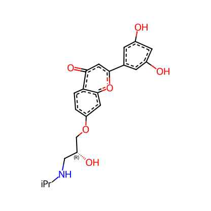 CC(C)NC[C@@H](O)COc1ccc2c(=O)cc(-c3cc(O)cc(O)c3)oc2c1